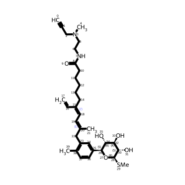 C#CCN(C)CCNC(=O)CCCCC/C(C=C)=C/C=C(\C)Cc1cc([C@@H]2O[C@H](SC)[C@@H](O)[C@H](O)[C@H]2O)ccc1C